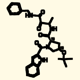 CC(NC(=O)[C@@H]1C[C@@H](OC(C)(C)C)CN1C(=O)c1cc2ccccc2[nH]1)C(=O)C(=O)NCc1ccccc1